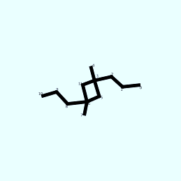 CCCC1(C)CC(C)(CCC)C1